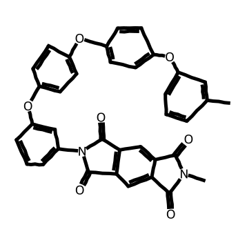 Cc1cccc(Oc2ccc(Oc3ccc(Oc4cccc(-n5c(=O)c6cc7c(=O)n(C)c(=O)c7cc6c5=O)c4)cc3)cc2)c1